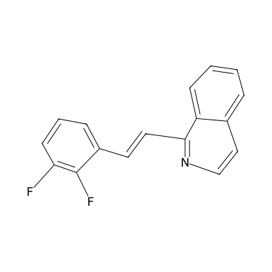 Fc1cccc(/C=C/c2nccc3ccccc23)c1F